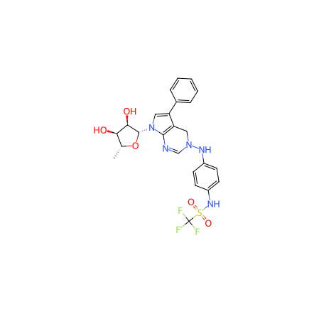 C[C@H]1O[C@@H](n2cc(-c3ccccc3)c3c2N=CN(Nc2ccc(NS(=O)(=O)C(F)(F)F)cc2)C3)[C@H](O)[C@@H]1O